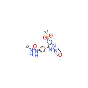 CC1COCCN1c1nc2c(c(-c3ccc(NC(=O)NC4CC4)cc3)n1)CN(S(=O)(=O)C1CC1)C2